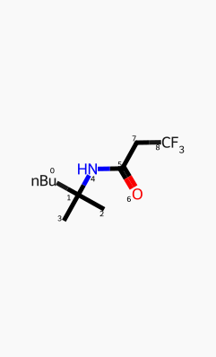 CCCCC(C)(C)NC(=O)CC(F)(F)F